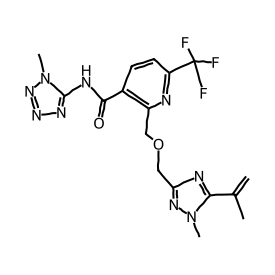 C=C(C)c1nc(COCc2nc(C(F)(F)F)ccc2C(=O)Nc2nnnn2C)nn1C